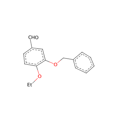 CCOc1ccc(C=O)cc1OCc1ccccc1